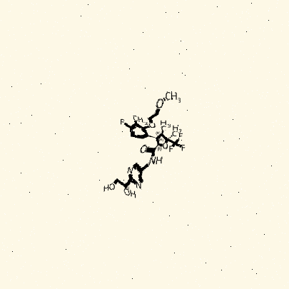 COCCOc1c([C@H]2[C@@H](C)[C@@](C)(C(F)(F)F)O[C@H]2C(=O)Nc2cnc([C@@H](O)CO)nc2)ccc(F)c1C